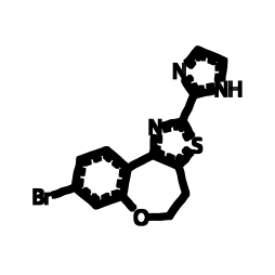 Brc1ccc2c(c1)OCCc1sc(-c3ncc[nH]3)nc1-2